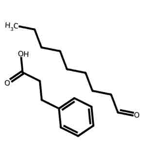 CCCCCCCCC=O.O=C(O)CCc1ccccc1